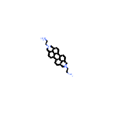 NCC[n+]1cc2ccc3c4ccc5c[n+](CCN)cc6ccc(c7ccc(c1)c2c37)c4c56